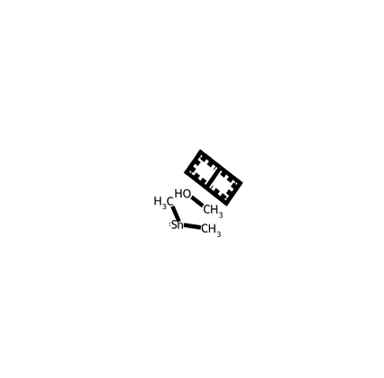 CO.[CH3][Sn][CH3].c1cc2ccc1-2